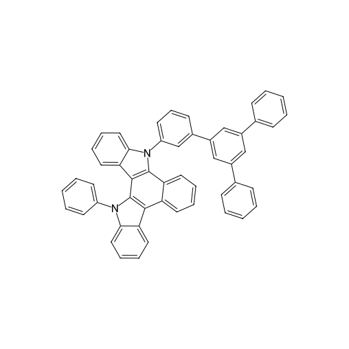 c1ccc(-c2cc(-c3ccccc3)cc(-c3cccc(-n4c5ccccc5c5c4c4ccccc4c4c6ccccc6n(-c6ccccc6)c45)c3)c2)cc1